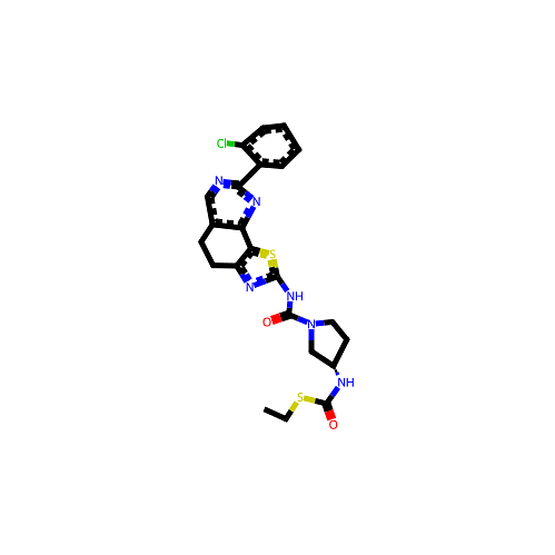 CCSC(=O)N[C@H]1CCN(C(=O)Nc2nc3c(s2)-c2nc(-c4ccccc4Cl)ncc2CC3)C1